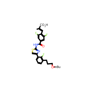 CCCCOCCCc1cccc(-c2csc(NC(=O)c3cc(F)c(C=C(C)C(=O)O)c(F)c3)n2)c1F